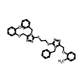 Cc1ccccc1OCc1nnc(SCCSc2nnc(COc3ccccc3C)n2Cc2ccccc2)n1Cc1ccccc1